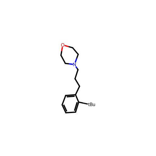 CC(C)(C)c1ccccc1CCCN1CCOCC1